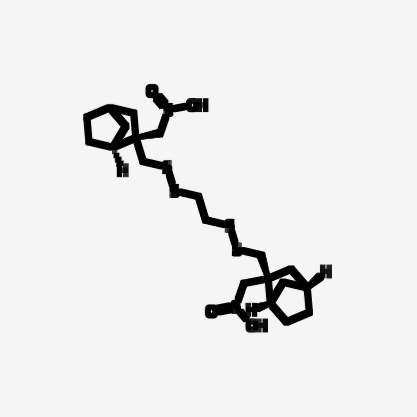 O=S(O)C[C@]1(CSSCCSSC[C@@]2(CS(=O)O)C[C@@H]3CC[C@H]2C3)CC2CC[C@H]1C2